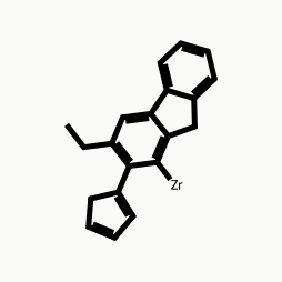 CCc1cc2c([c]([Zr])c1C1=CC=CC1)Cc1ccccc1-2